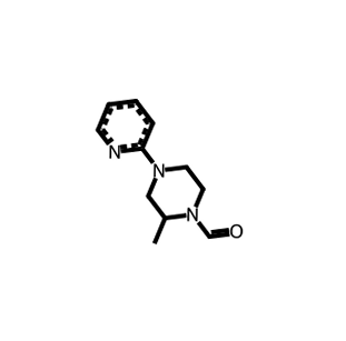 CC1CN(c2ccccn2)CCN1C=O